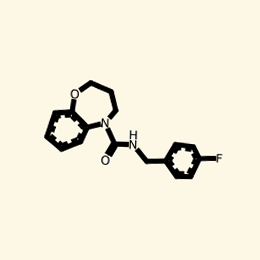 O=C(NCc1ccc(F)cc1)N1CCCOc2ccccc21